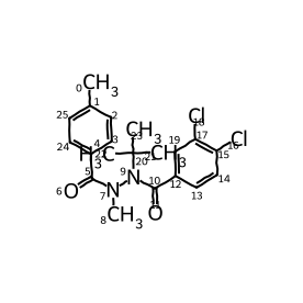 Cc1ccc(C(=O)N(C)N(C(=O)c2ccc(Cl)c(Cl)c2)C(C)(C)C)cc1